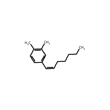 CCCCC/C=[C]\c1ccc(C)c(C)c1